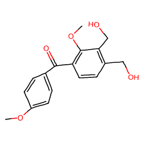 COc1ccc(C(=O)c2ccc(CO)c(CO)c2OC)cc1